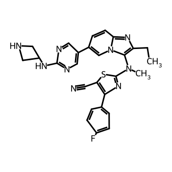 CCc1nc2ccc(-c3cnc(NC4CNC4)nc3)cn2c1N(C)c1nc(-c2ccc(F)cc2)c(C#N)s1